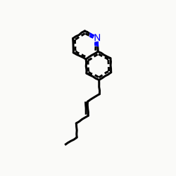 CCC/C=C/Cc1ccc2ncccc2c1